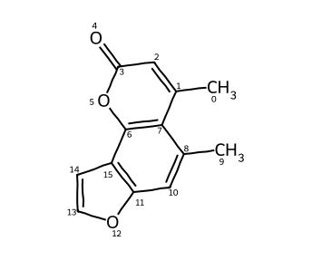 Cc1cc(=O)oc2c1c(C)cc1occc12